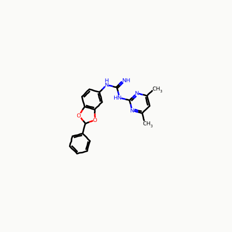 Cc1cc(C)nc(NC(=N)Nc2ccc3c(c2)OC(c2ccccc2)O3)n1